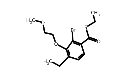 CCSC(=O)c1ccc(CC)c(OCCOC)c1Br